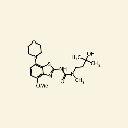 COc1ccc(N2CCOCC2)c2sc(NC(=O)N(C)CCC(C)(C)O)nc12